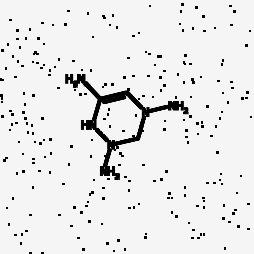 NC1=CN(N)CN(N)N1